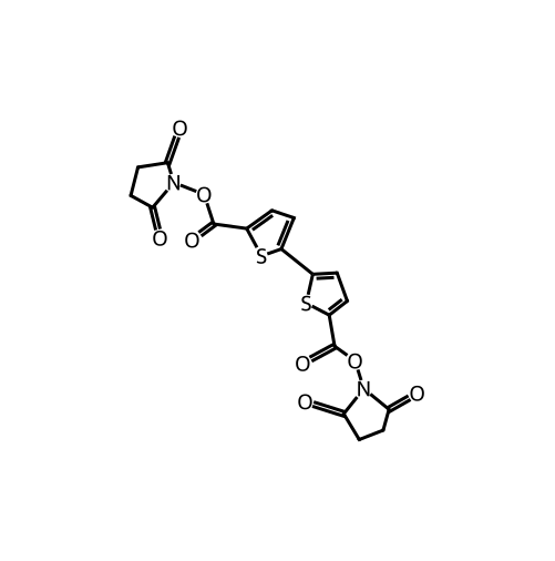 O=C(ON1C(=O)CCC1=O)c1ccc(-c2ccc(C(=O)ON3C(=O)CCC3=O)s2)s1